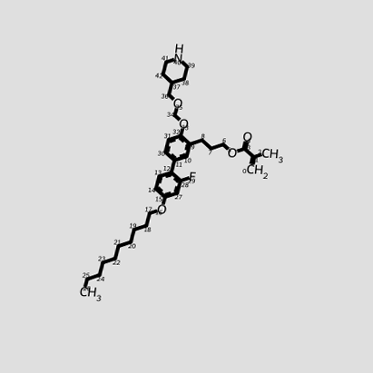 C=C(C)C(=O)OCCCc1cc(-c2ccc(OCCCCCCCCCC)cc2F)ccc1OCOCC1CCNCC1